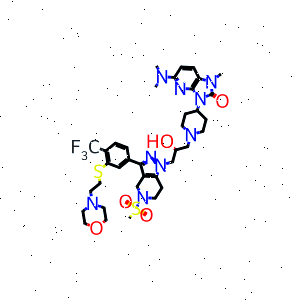 CN(C)c1ccc2c(n1)n(C1CCN(CC(O)Cn3nc(-c4ccc(C(F)(F)F)c(SCCN5CCOCC5)c4)c4c3CCN(S(C)(=O)=O)C4)CC1)c(=O)n2C